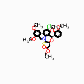 CCOC(=O)C[C@@H]1O[C@H](c2cccc(OC)c2OC)c2cc(Cl)ccc2N(Cc2ccc(OC)cc2OC)C1=S